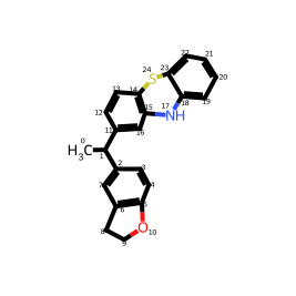 CC(c1ccc2c(c1)CCO2)c1ccc2c(c1)Nc1ccccc1S2